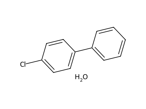 Clc1ccc(-c2ccccc2)cc1.O